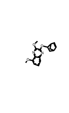 COc1nc2c(OC)cccc2nc1OC1CC2C=CC1C2